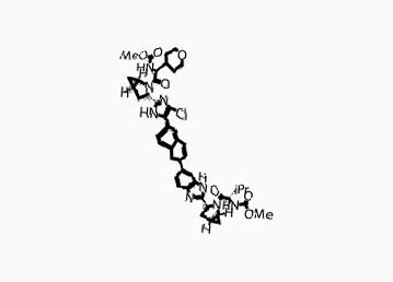 COC(=O)N[C@H](C(=O)N1[C@@H]2C[C@@H]2C[C@H]1c1nc2ccc(-c3ccc4cc(-c5[nH]c([C@@H]6C[C@H]7C[C@H]7N6C(=O)[C@@H](NC(=O)OC)C6CCOCC6)nc5Cl)ccc4c3)cc2[nH]1)C(C)C